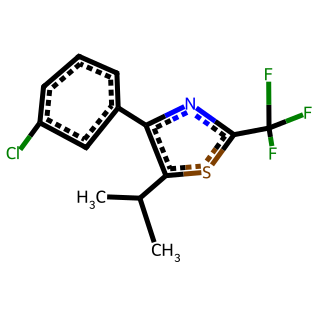 CC(C)c1sc(C(F)(F)F)nc1-c1cccc(Cl)c1